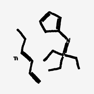 C=CC=CCC.CCP(CC)(CC)=NC1=CC=CC1.[Ti]